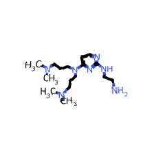 CN(C)CCCN(CCCN(C)C)c1ccnc(NCCN)n1